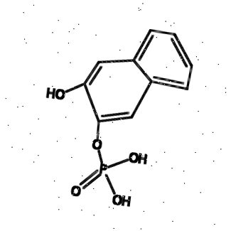 O=P(O)(O)Oc1cc2ccccc2cc1O